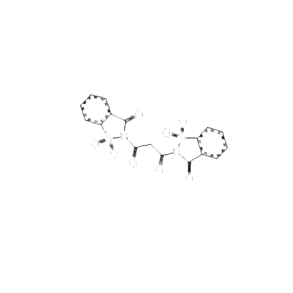 O=C(CC(=O)N1C(=O)c2ccccc2S1(=O)=O)N1C(=O)c2ccccc2S1(=O)=O